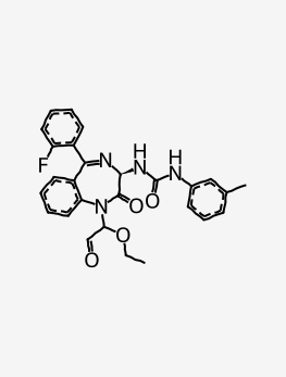 CCOC(C=O)N1C(=O)[C@H](NC(=O)Nc2cccc(C)c2)N=C(c2ccccc2F)c2ccccc21